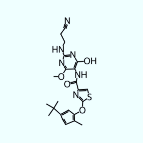 COc1nc(NCCC#N)nc(O)c1NC(=O)c1csc(Oc2cc(C(C)(C)C)ccc2C)n1